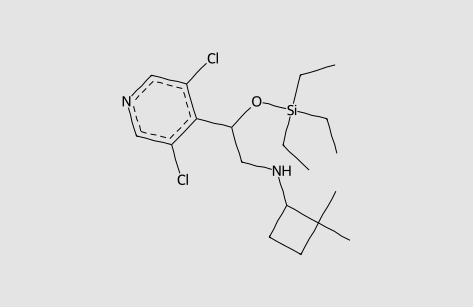 CC[Si](CC)(CC)OC(CNC1CCC1(C)C)c1c(Cl)cncc1Cl